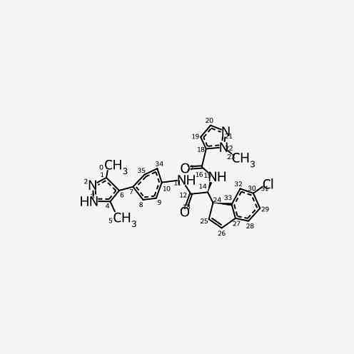 Cc1n[nH]c(C)c1-c1ccc(NC(=O)[C@@H](NC(=O)c2ccnn2C)[C@@H]2C=Cc3ccc(Cl)cc32)cc1